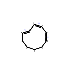 [CH]1/C=C/C=C\C=C/CCC1